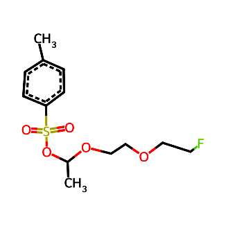 Cc1ccc(S(=O)(=O)OC(C)OCCOCCF)cc1